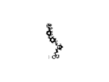 O=C(O)CCCN1CCC[C@H]1COc1ccc(Cc2ccc(-c3nccs3)cc2)cc1